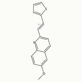 COc1ccc2nc(/C=C/c3cccs3)ccc2c1